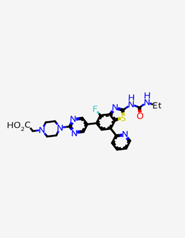 CCNC(=O)Nc1nc2c(F)c(-c3cnc(N4CCN(CC(=O)O)CC4)nc3)cc(-c3ccccn3)c2s1